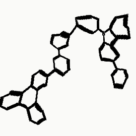 c1ccc(-c2ccc3c(c2)c2ccccc2n3-c2cccc(-c3cccc(-c4cccc(-c5ccc6c7ccccc7c7ccccc7c6c5)c4)c3)c2)cc1